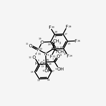 CC(C)N([C@](C)(O)C(=O)O)[P@](=O)(Oc1ccccc1)Oc1c(F)c(F)c(F)c(F)c1F